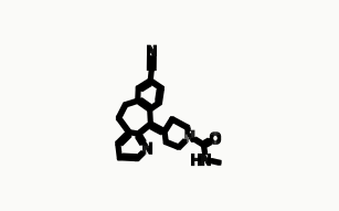 CNC(=O)N1CCC(=C2c3ccc(C#N)cc3CCc3cccnc32)CC1